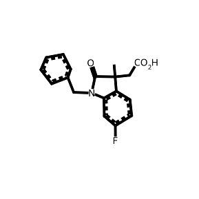 CC1(CC(=O)O)C(=O)N(Cc2ccccc2)c2cc(F)ccc21